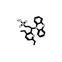 CCc1ccc(CC)c(C(CCS(=O)(=O)O)N2c3ccccc3Sc3ccccc32)n1